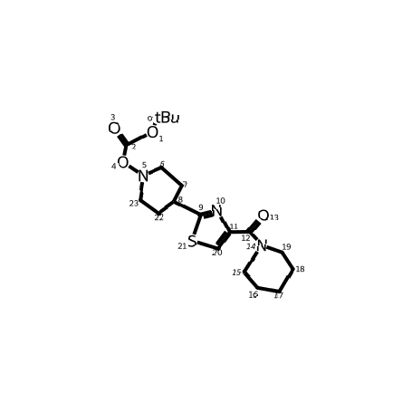 CC(C)(C)OC(=O)ON1CCC(c2nc(C(=O)N3CCCCC3)cs2)CC1